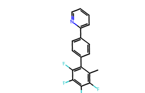 Cc1c(F)c(F)c(F)c(F)c1-c1ccc(-c2ccccn2)cc1